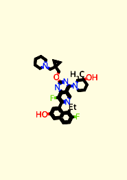 CCc1c(F)ccc2cc(O)cc(-c3ncc4c(N5CCC[C@@](C)(O)C5)nc(OCC5(CN6CCCCC6)CC5)nc4c3F)c12